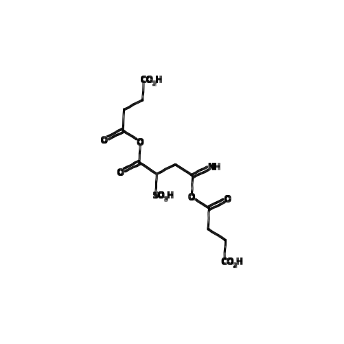 N=C(CC(C(=O)OC(=O)CCC(=O)O)S(=O)(=O)O)OC(=O)CCC(=O)O